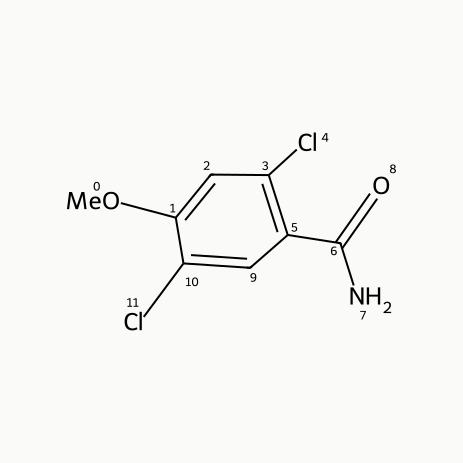 COc1cc(Cl)c(C(N)=O)cc1Cl